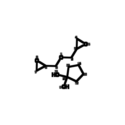 C(OCC1CO1)C1CO1.OC1(O)CCCC1